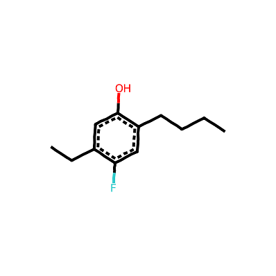 CCCCc1cc(F)c(CC)cc1O